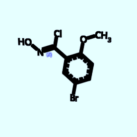 COc1ccc(Br)cc1/C(Cl)=N/O